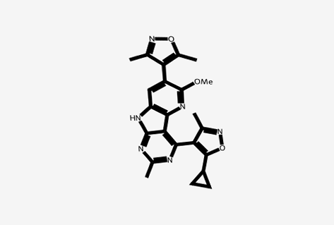 COc1nc2c(cc1-c1c(C)noc1C)[nH]c1nc(C)nc(-c3c(C)noc3C3CC3)c12